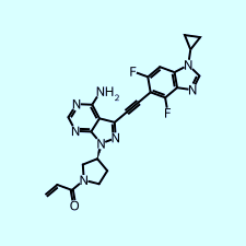 C=CC(=O)N1CC[C@H](n2nc(C#Cc3c(F)cc4c(ncn4C4CC4)c3F)c3c(N)ncnc32)C1